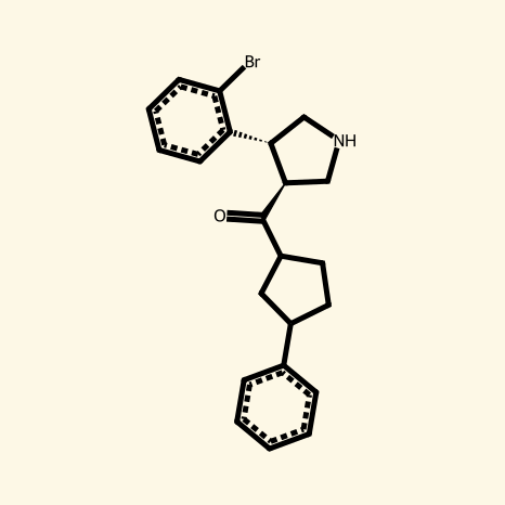 O=C(C1CCC(c2ccccc2)C1)[C@@H]1CNC[C@H]1c1ccccc1Br